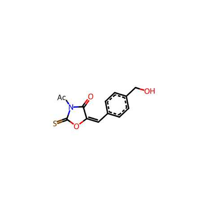 CC(=O)N1C(=O)/C(=C\c2ccc(CO)cc2)OC1=S